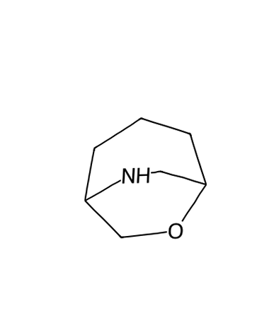 C1CC2COC(C1)CN2